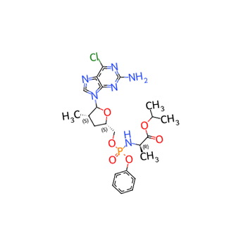 CC(C)OC(=O)[C@@H](C)NP(=O)(OC[C@@H]1C[C@H](C)C(n2cnc3c(Cl)nc(N)nc32)O1)Oc1ccccc1